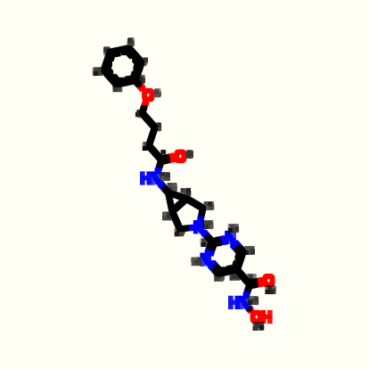 O=C(CCCOc1ccccc1)NC1C2CN(c3ncc(C(=O)NO)cn3)CC21